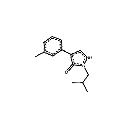 Cc1cccc(-c2c[nH]n(CC(C)C)c2=O)c1